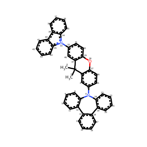 CC1(C)c2cc(N3c4ccccc4-c4ccccc4-c4ccccc43)ccc2Oc2ccc(-n3c4ccccc4c4ccccc43)cc21